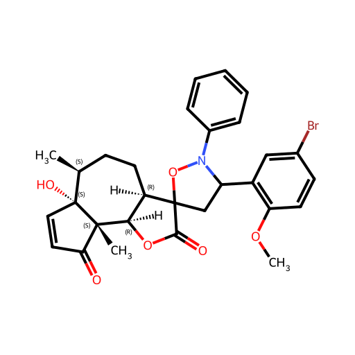 COc1ccc(Br)cc1C1CC2(ON1c1ccccc1)C(=O)O[C@@H]1[C@H]2CC[C@H](C)[C@]2(O)C=CC(=O)[C@@]12C